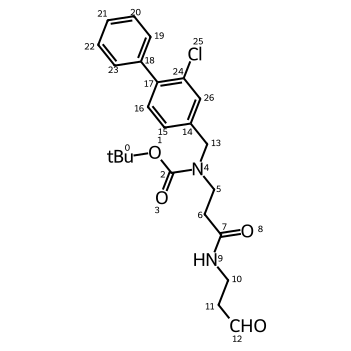 CC(C)(C)OC(=O)N(CCC(=O)NCCC=O)Cc1ccc(-c2ccccc2)c(Cl)c1